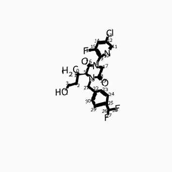 C=C(CCO)[C@H]1C(=O)N(c2ncc(Cl)cc2F)CC(=O)N1Cc1ccc(C(F)F)cc1